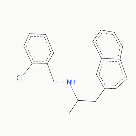 CC(Cc1ccc2ccccc2c1)NCc1ccccc1Cl